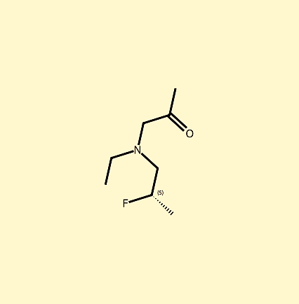 CCN(CC(C)=O)C[C@H](C)F